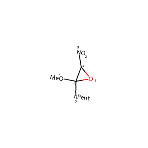 CCCCCC1(OC)OC1[N+](=O)[O-]